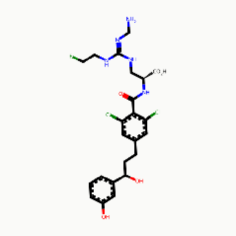 NC/N=C(/NCCF)NC[C@H](NC(=O)c1c(Cl)cc(CCC(O)c2cccc(O)c2)cc1Cl)C(=O)O